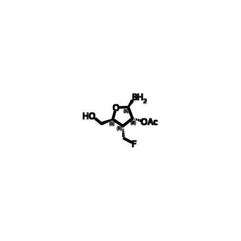 B[C@@H]1O[C@H](CO)[C@@H](CF)[C@H]1OC(C)=O